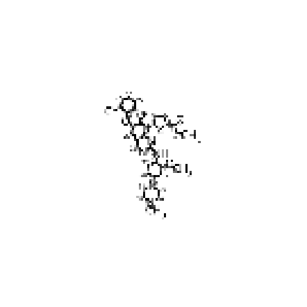 C=CC(=O)N1CC[C@H](n2c(=O)c(Oc3ccccc3Cl)cc3cnc(Nc4ccc(N5CCN(C)CC5)cc4OC)nc32)C1